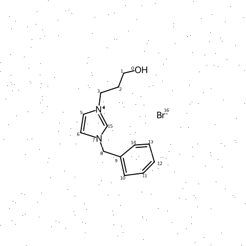 OCCC[n+]1ccn(Cc2ccccc2)c1.[Br-]